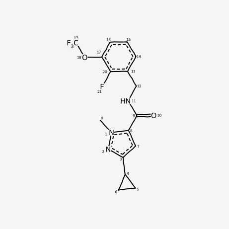 Cn1nc(C2CC2)cc1C(=O)NCc1cccc(OC(F)(F)F)c1F